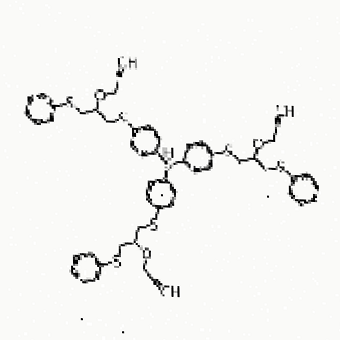 C#CCOC(CSc1ccccc1)CSc1ccc([SH](c2ccc(SCC(CSc3ccccc3)OCC#C)cc2)c2ccc(SCC(CSc3ccccc3)OCC#C)cc2)cc1